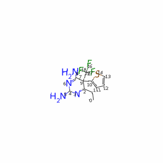 CCC1=NC(N)N=C(N)C1(c1cccs1)C(F)(F)F